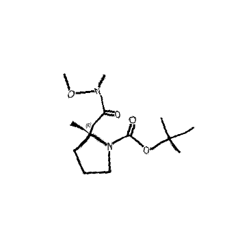 CON(C)C(=O)[C@@]1(C)CCCN1C(=O)OC(C)(C)C